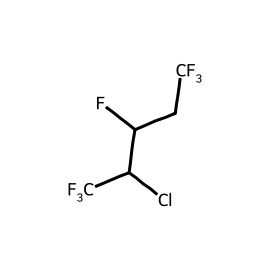 FC(CC(F)(F)F)C(Cl)C(F)(F)F